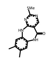 CSc1ncc2c(n1)Nc1cc(C)c(C)cc1NC2=O